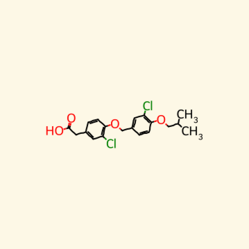 CC(C)COc1ccc(COc2ccc(CC(=O)O)cc2Cl)cc1Cl